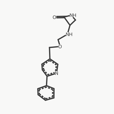 O=C1NCC1NCOCc1ccc(-c2ccccc2)nc1